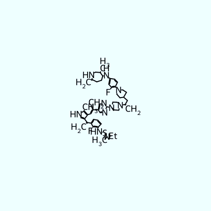 C=C/C(=C\c1c(C(=C)c2cccc(NSN(C)CC)c2F)c[nH]c1C)c1cnc(N2CCN(C(=C)CC3CCN(c4ccc(NC5CCC(=C)NCC5C)cc4F)CC3)CC2)nc1